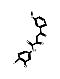 COc1cccc(C(=O)CC(=O)C(=O)Nc2ccc(Cl)c(Cl)c2)c1